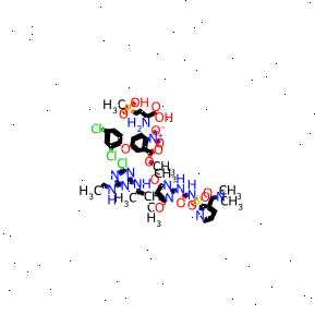 CCNc1nc(Cl)nc(NC(C)C)n1.COC(=O)c1cc(Oc2ccc(Cl)cc2Cl)ccc1[N+](=O)[O-].COc1cc(OC)nc(NC(=O)NS(=O)(=O)c2ncccc2C(=O)N(C)C)n1.CP(=O)(O)CCC(N)C(=O)O